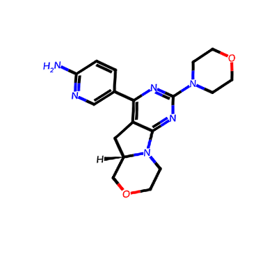 Nc1ccc(-c2nc(N3CCOCC3)nc3c2C[C@H]2COCCN32)cn1